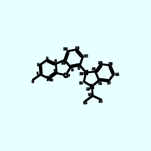 Cc1ccc2c(n1)oc1c(N3CN(C(C)C)c4ccccc43)cccc12